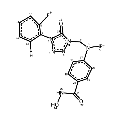 CC(C)N(Cn1nnn(-c2c(F)cccc2F)c1=O)c1ccc(C(=O)NO)cc1